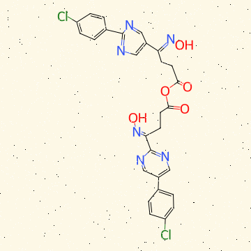 O=C(CCC(=NO)c1cnc(-c2ccc(Cl)cc2)nc1)OC(=O)CCC(=NO)c1ncc(-c2ccc(Cl)cc2)cn1